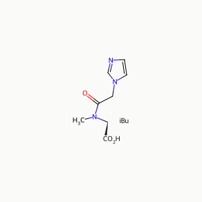 CC[C@H](C)[C@@H](C(=O)O)N(C)C(=O)Cn1ccnc1